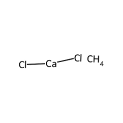 C.[Cl][Ca][Cl]